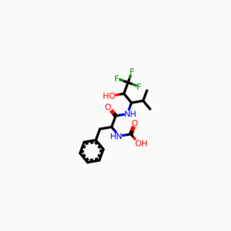 CC(C)C(NC(=O)C(Cc1ccccc1)NC(=O)O)C(O)C(F)(F)F